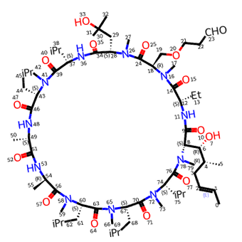 C/C=C/C[C@@H](C)[C@@H](O)[C@H]1C(=O)N[C@@H](CC)C(=O)N(C)[C@H](COCCC=O)C(=O)N(C)[C@@H](CC(C)(C)O)C(=O)N[C@@H](C(C)C)C(=O)N(C)[C@@H](CC(C)C)C(=O)N[C@@H](C)C(=O)N[C@H](C)C(=O)N(C)[C@@H](CC(C)C)C(=O)N(C)[C@@H](CC(C)C)C(=O)N(C)[C@@H](C(C)C)C(=O)N1C